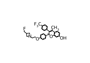 CC1=C(c2ccc(C(F)(F)F)cc2)[C@H](c2ccc(OCCN3CC(CF)C3)cc2)Oc2cc(O)ccc21